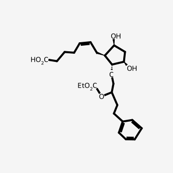 CCOC(=O)OC(CCc1ccccc1)CC[C@@H]1[C@@H](C/C=C\CCCC(=O)O)[C@@H](O)C[C@H]1O